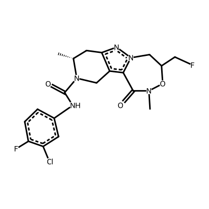 C[C@@H]1Cc2nn3c(c2CN1C(=O)Nc1ccc(F)c(Cl)c1)C(=O)N(C)OC(CF)C3